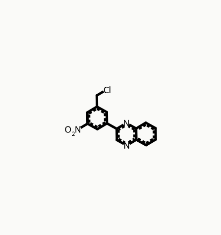 O=[N+]([O-])c1cc(CCl)cc(-c2cnc3ccccc3n2)c1